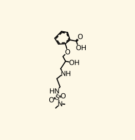 CN(C)S(=O)(=O)NCCNCC(O)COc1ccccc1C(=O)O